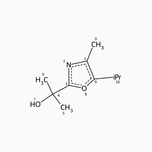 Cc1nc(C(C)(C)O)oc1C(C)C